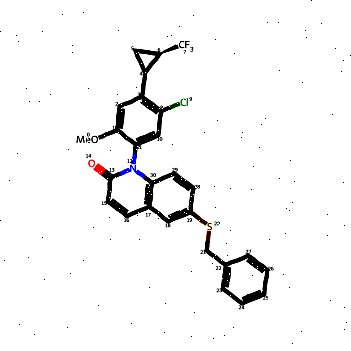 COc1cc(C2C[C@H]2C(F)(F)F)c(Cl)cc1-n1c(=O)ccc2cc(SCc3ccccc3)ccc21